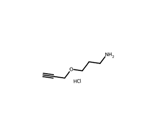 C#CCOCCCN.Cl